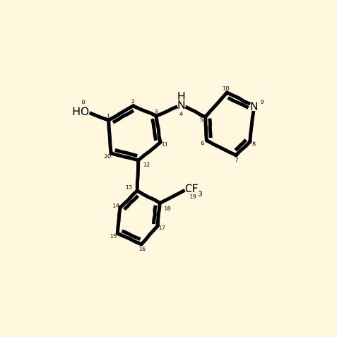 Oc1cc(Nc2cccnc2)cc(-c2ccccc2C(F)(F)F)c1